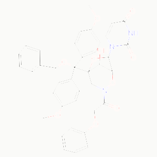 COc1ccc(C(OCc2ccccc2)(c2ccc(OC)cc2)C23CN(C(=O)COc4ccccc4)OC(C(n4ccc(=O)[nH]c4=O)O2)C3O)cc1